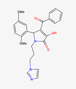 COc1ccc(OC)c(C2C(C(=O)c3ccccc3)=C(O)C(=O)N2CCCn2ccnc2)c1